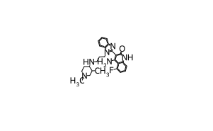 CC1CN(C)CC[C@@H]1NCCCn1c(-c2c(N)c3c(F)cccc3[nH]c2=O)nc2ccccc21